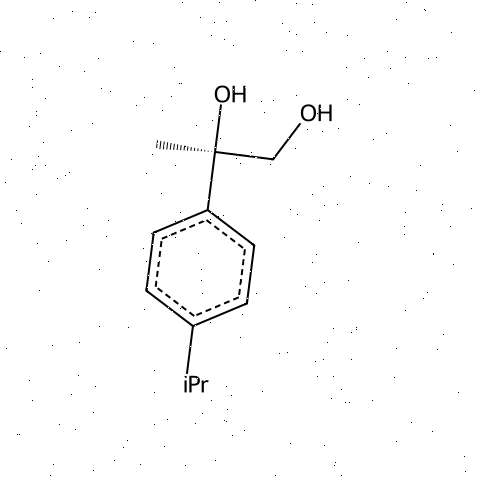 CC(C)c1ccc([C@@](C)(O)CO)cc1